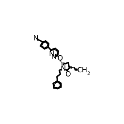 C=CC[C@@H]1C[C@@H](COc2ccc(-c3ccc(C#N)cc3)nn2)N(CCCc2ccccc2)C1=O